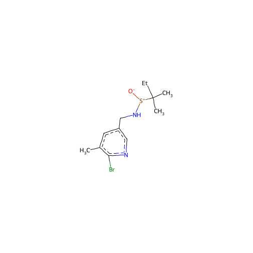 CCC(C)(C)[S+]([O-])NCc1cnc(Br)c(C)c1